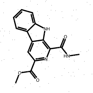 CNC(=O)c1nc(C(=O)OC)cc2c1[nH]c1ccccc12